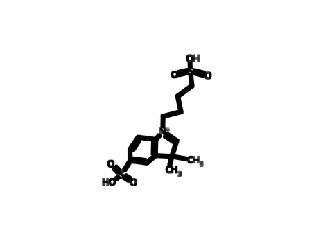 CC1(C)C=[N+](CCCCS(=O)(=O)O)c2ccc(S(=O)(=O)O)cc21